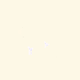 CC1(C)C=Cc2c(ccc3[nH]c4c(c23)CCN(Cc2ccccc2)CC4)O1